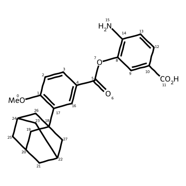 COc1ccc(C(=O)Oc2cc(C(=O)O)ccc2N)cc1C12CC3CC(CC(C3)C1)C2